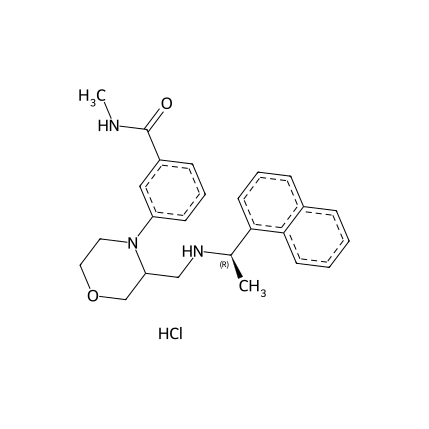 CNC(=O)c1cccc(N2CCOCC2CN[C@H](C)c2cccc3ccccc23)c1.Cl